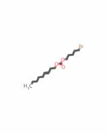 CCCCCC=CCCOC(=O)OCCCCCBr